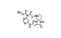 CC(C)(C)OC(=O)N(C(=O)OC(C)(C)C)c1cc(Nc2cc3n(n2)C2(CCCCC2)NC3=O)ncn1